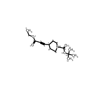 CCOC(=O)C#CC1CCN(C(=O)OC(C)(C)C)CC1